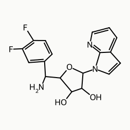 NC(c1ccc(F)c(F)c1)C1OC(n2ccc3cccnc32)C(O)C1O